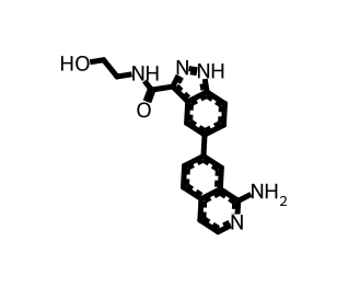 Nc1nccc2ccc(-c3ccc4[nH]nc(C(=O)NCCO)c4c3)cc12